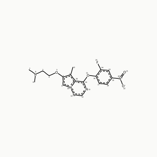 Cc1c(OCCN(C)C)cn2ncnc(Oc3ccc([N+](=O)[O-])cc3F)c12